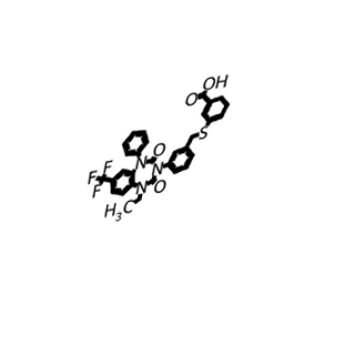 CCN1C(=O)N(c2cccc(CSC3=CCCC(C(=O)O)=C3)c2)C(=O)N(c2ccccc2)c2cc(C(F)(F)F)ccc21